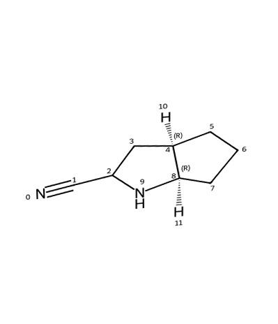 N#CC1C[C@H]2CCC[C@H]2N1